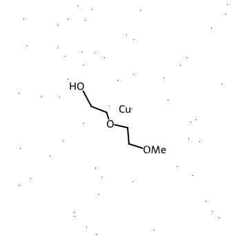 COCCOCCO.[Cu]